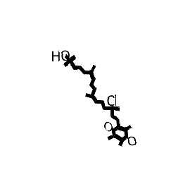 CC(=CCCC(C)(Cl)CCC1=C(C)C(=O)C(C)=C(C)C1=O)CCC=C(C)CCCC(C)(C)O